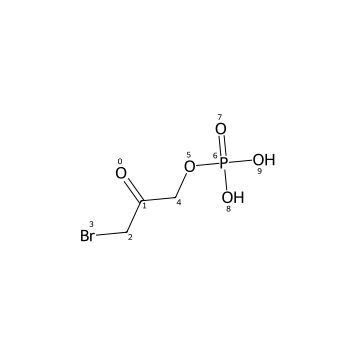 O=C(CBr)COP(=O)(O)O